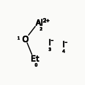 CC[O][Al+2].[I-].[I-]